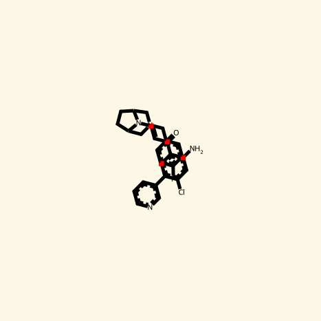 Nc1cc(Cl)c(-c2cccnc2)cc1C(=O)/C=C/N1C2CCC1CN(Cc1ccc(F)cc1)C2